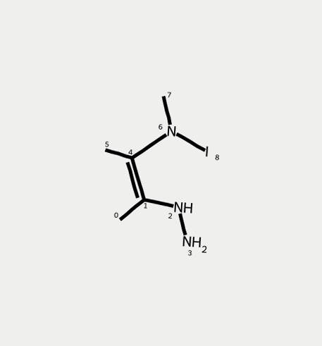 C/C(NN)=C(\C)N(C)I